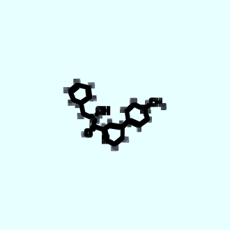 CN1CC=C(C2=CC(C(=O)N(O)CC3C=CC=CC3)=NCC2)CC1